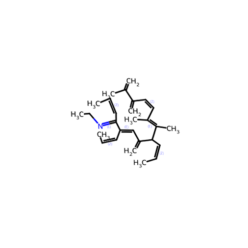 C=C(C)C(=C)/C=C\C(C)=C(/C)C(/C=C\C)C(=C)/C=C(\C=C/C)C(/C=C\C)=N/CC